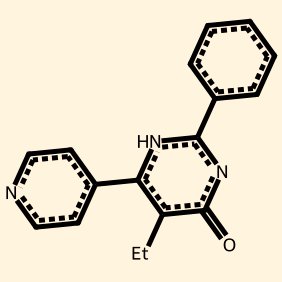 CCc1c(-c2ccncc2)[nH]c(-c2ccccc2)nc1=O